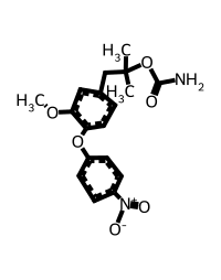 COc1cc(CC(C)(C)OC(N)=O)ccc1Oc1ccc([N+](=O)[O-])cc1